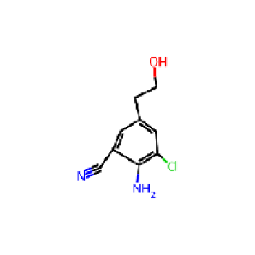 N#Cc1cc(CCO)cc(Cl)c1N